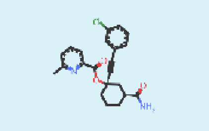 Cc1cccc(C(=O)O[C@@]2(C#Cc3cccc(Cl)c3)CCC[C@H](C(N)=O)C2)n1